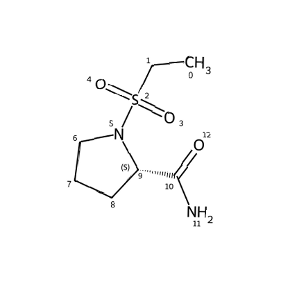 CCS(=O)(=O)N1CCC[C@H]1C(N)=O